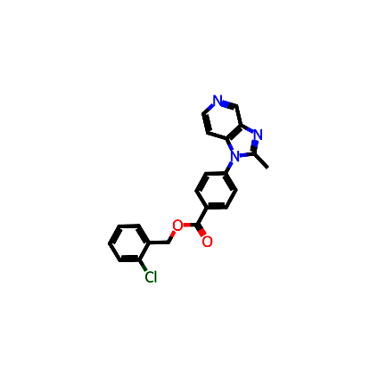 Cc1nc2cnccc2n1-c1ccc(C(=O)OCc2ccccc2Cl)cc1